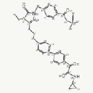 CCn1c(CCCc2ccc(-c3ccc(C(=O)C(=O)NC4CC4)cc3)cc2)nn(Cc2ccc(C(=O)CC(C)(C)C)cc2)c1=O